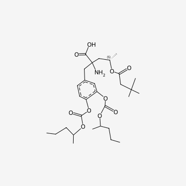 CCCC(C)OC(=O)Oc1ccc(CC(N)(C[C@H](C)OC(=O)CC(C)(C)C)C(=O)O)cc1OC(=O)OC(C)CCC